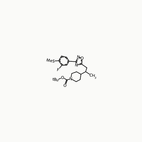 CSc1ccc(-c2noc(CC(C)C3CCN(C(=O)OC(C)(C)C)CC3)n2)cc1F